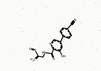 C=C(CNC(=O)c1ncc(-c2ccc(C#N)cc2)cc1O)N=O